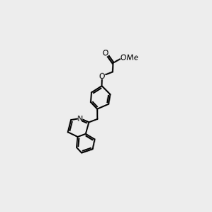 COC(=O)COc1ccc(Cc2nccc3ccccc23)cc1